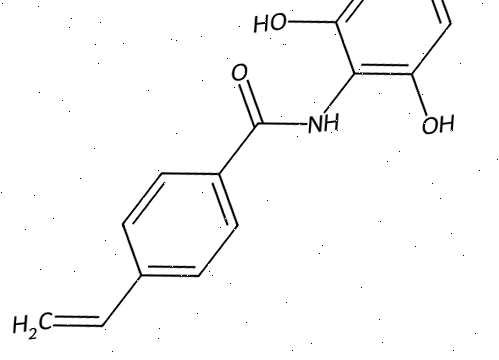 C=Cc1ccc(C(=O)Nc2c(O)cccc2O)cc1